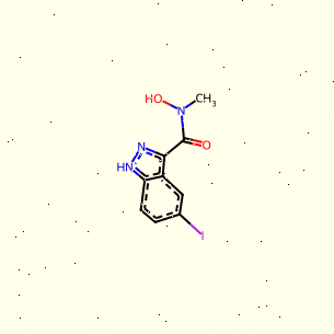 CN(O)C(=O)c1n[nH]c2ccc(I)cc12